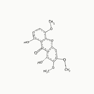 COc1cc2oc3c(OC)ccc(O)c3c(=O)c2c(O)c1OC